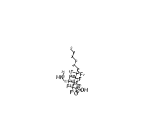 CCCCCCC(F)(F)C(F)(F)C(F)(F)C(F)(F)S(=O)(=O)O.CNC